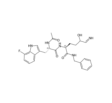 CC(=O)N[C@@H](Cc1c[nH]c2c(F)cccc12)C(=O)N[C@@H](CCC(O)C=N)C(=O)NCc1ccccc1